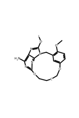 COc1ccc2cc1Cn1c(OI)nc3c(N)nc(nc31)OCCCCO2